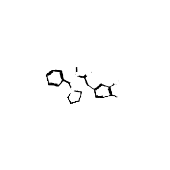 CN(C(=O)Cc1ccc(Cl)c(Cl)c1)[C@@H](c1ccccc1)N1CCCC1